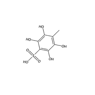 Cc1c(O)c(O)c(S(=O)(=O)O)c(O)c1O